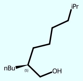 CCCC[C@H](CO)CCCCC(C)C